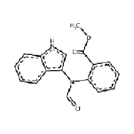 COC(=O)c1ccccc1N(C=O)c1c[nH]c2ccccc12